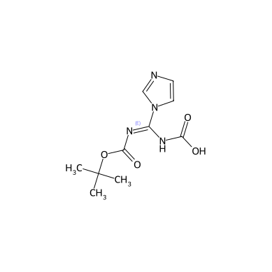 CC(C)(C)OC(=O)/N=C(\NC(=O)O)n1ccnc1